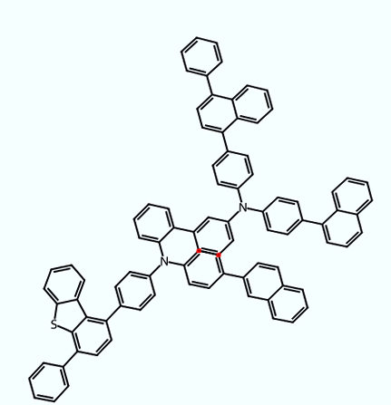 c1ccc(-c2ccc(-c3ccc(N(c4ccc(-c5cccc6ccccc56)cc4)c4cccc(-c5ccccc5N(c5ccc(-c6ccc7ccccc7c6)cc5)c5ccc(-c6ccc(-c7ccccc7)c7sc8ccccc8c67)cc5)c4)cc3)c3ccccc23)cc1